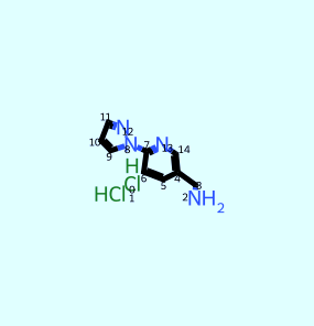 Cl.Cl.NCc1ccc(-n2cccn2)nc1